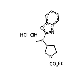 CCOC(=O)N1CCC(N(C)c2nc3ccccc3o2)C1.Cl.Cl